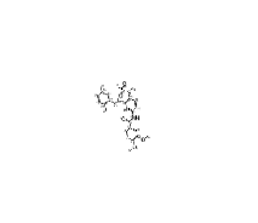 COc1ccc(C(=O)Nc2ccc(N(C)S(C)(=O)=O)c(OCc3cc(C)ccc3C)c2)cc1OC